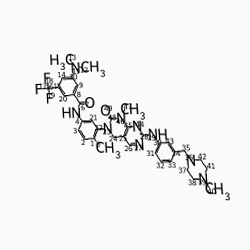 Cc1ccc(NC(=O)c2cc(N(C)C)cc(C(F)(F)F)c2)cc1N1Cc2cnc(Nc3cccc(CN4CCN(C)CC4)c3)nc2N(C)C1=O